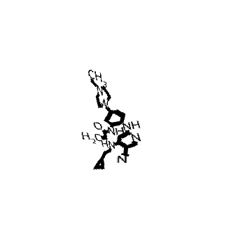 C=CC(=O)Nc1cc(N2CCN(CC)CC2)ccc1Nc1cc(NCCC2CC2)c(C#N)cn1